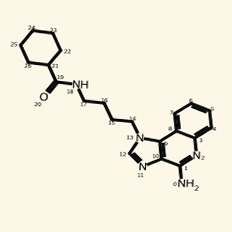 Nc1nc2ccccc2c2c1ncn2CCCCNC(=O)C1CCCCC1